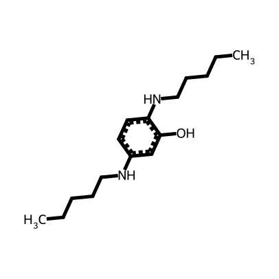 CCCCCNc1ccc(NCCCCC)c(O)c1